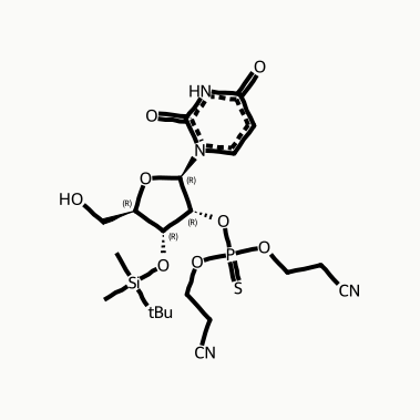 CC(C)(C)[Si](C)(C)O[C@H]1[C@@H](OP(=S)(OCCC#N)OCCC#N)[C@H](n2ccc(=O)[nH]c2=O)O[C@@H]1CO